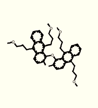 COCCCc1c2ccccc2c(CCCOC)c2c(Oc3c(C)ccc4c(CCCOC)c5ccccc5c(CCCOC)c34)c(C)ccc12